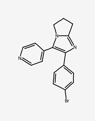 Brc1ccc(-c2nc3n(c2-c2ccncc2)CCC3)cc1